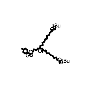 CC1CCC(S(=O)(=O)OCCCCC(O)(CCCCCCCCCCO[Si](C)(C)C(C)(C)C)CCCCCCCCCCO[Si](C)(C)C(C)(C)C)CC1